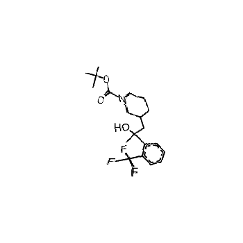 CC(C)(C)OC(=O)N1CCCC(CC(C)(O)c2ccccc2C(F)(F)F)C1